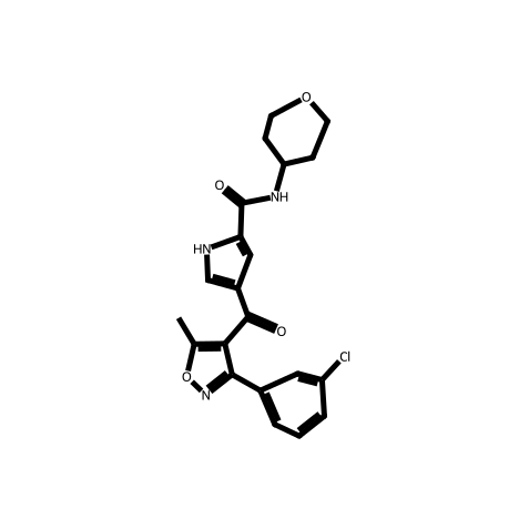 Cc1onc(-c2cccc(Cl)c2)c1C(=O)c1c[nH]c(C(=O)NC2CCOCC2)c1